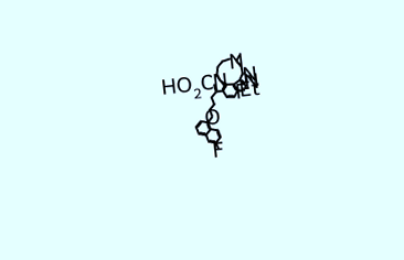 CCc1c2c(nn1C)CN(C)CCCCn1c(C(=O)O)c(CCCOc3cccc4cc(F)ccc34)c3ccc(F)c-2c31